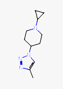 Cc1cn(C2CCN(C3CC3)CC2)nn1